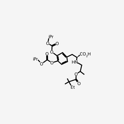 CCC(C)(C)C(=O)OC(C)CN[C@@H](Cc1ccc(OC(=O)OC(C)C)c(OC(=O)OC(C)C)c1)C(=O)O